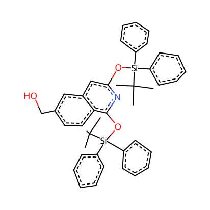 CC(C)(C)[Si](Oc1cc2cc(CO)ccc2c(O[Si](c2ccccc2)(c2ccccc2)C(C)(C)C)n1)(c1ccccc1)c1ccccc1